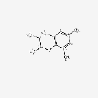 CCN(C)Cc1c(C)cc(C)cc1C